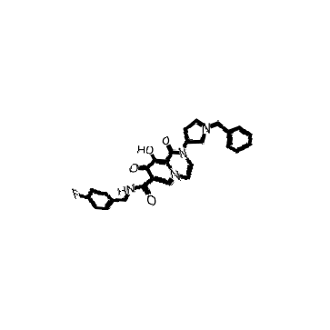 O=C(NCc1ccc(F)cc1)c1cn2ccn(C3CCN(Cc4ccccc4)C3)c(=O)c2c(O)c1=O